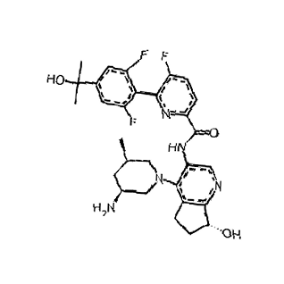 C[C@@H]1C[C@H](N)CN(c2c(NC(=O)c3ccc(F)c(-c4c(F)cc(C(C)(C)O)cc4F)n3)cnc3c2CC[C@H]3O)C1